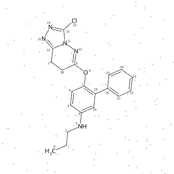 CCCNc1ccc(OC2=Nn3c(Cl)nnc3CC2)c(-c2ccccc2)c1